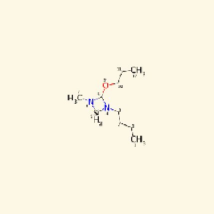 CCCCN1[SiH2]N(C)C1OCCC